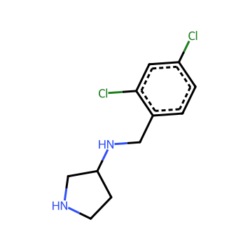 Clc1ccc(CNC2CCNC2)c(Cl)c1